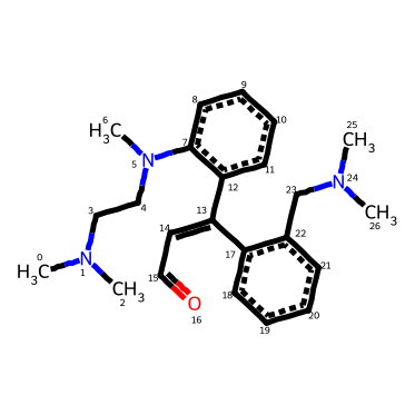 CN(C)CCN(C)c1ccccc1C(=CC=O)c1ccccc1CN(C)C